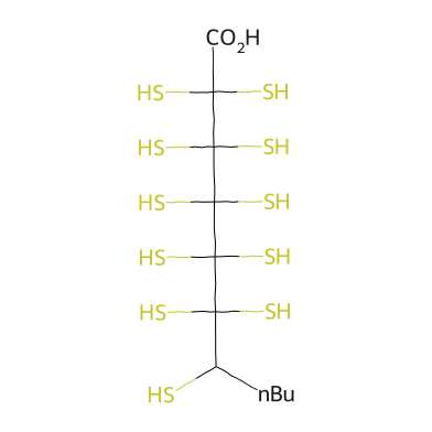 CCCCC(S)C(S)(S)C(S)(S)C(S)(S)C(S)(S)C(S)(S)C(=O)O